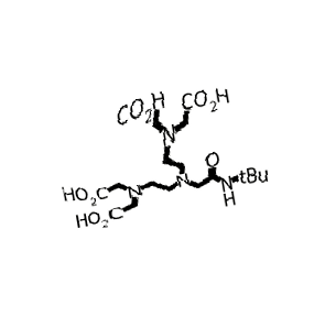 CC(C)(C)NC(=O)CN(CCN(CC(=O)O)CC(=O)O)CCN(CC(=O)O)CC(=O)O